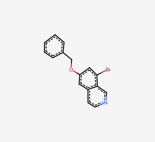 Brc1cc(OCc2ccccc2)cc2ccncc12